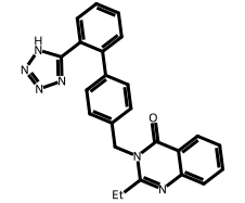 CCc1nc2ccccc2c(=O)n1Cc1ccc(-c2ccccc2-c2nnn[nH]2)cc1